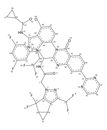 O=C(Cn1nc(C(F)F)c2c1C(F)(F)C1CC21)NC(Cc1cc(F)cc(F)c1)c1nc2cc(-c3ncccn3)ccc2c(=O)n1-c1ccc(Cl)c2c(N[S+]([O-])C3CC3)nn(CC(F)F)c12